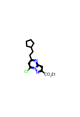 CCOC(=O)c1cc2nc(CCC3CCCC3)cc(Cl)n2n1